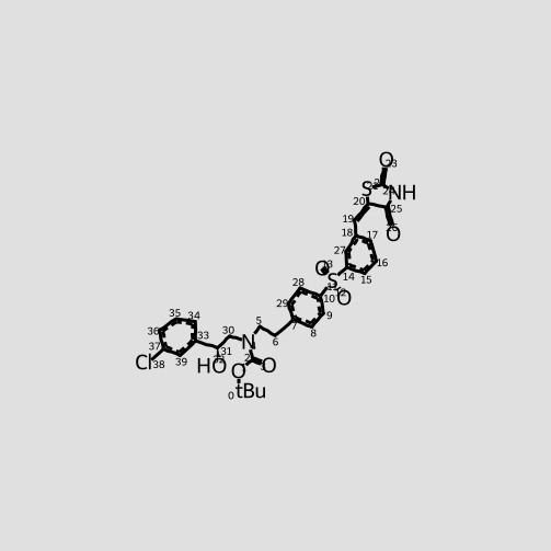 CC(C)(C)OC(=O)N(CCc1ccc(S(=O)(=O)c2cccc(C=C3SC(=O)NC3=O)c2)cc1)C[C@@H](O)c1cccc(Cl)c1